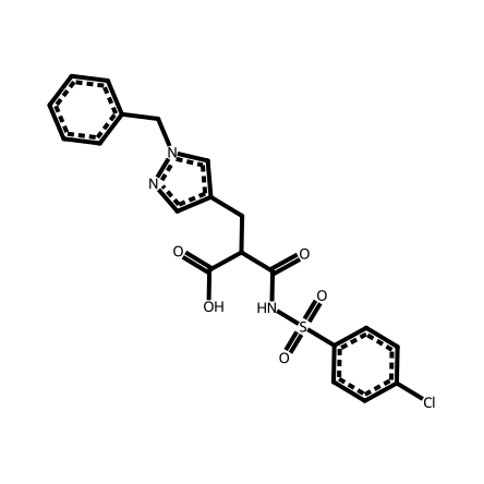 O=C(O)C(Cc1cnn(Cc2ccccc2)c1)C(=O)NS(=O)(=O)c1ccc(Cl)cc1